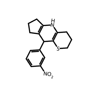 O=[N+]([O-])c1cccc(C2C3=C(CCC3)NC3=C2SCCC3)c1